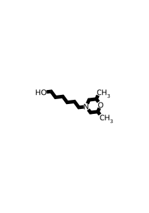 CC1CN(CCCCCCO)CC(C)O1